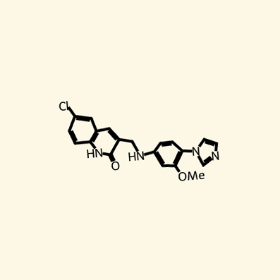 COc1cc(NCc2cc3cc(Cl)ccc3[nH]c2=O)ccc1-n1ccnc1